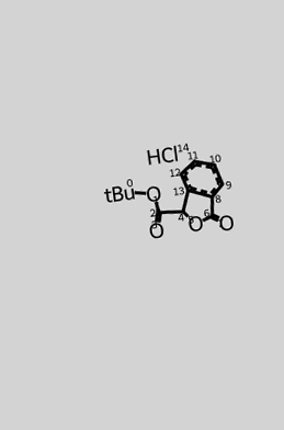 CC(C)(C)OC(=O)C1OC(=O)c2ccccc21.Cl